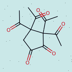 CC(=O)C1(C(C)=O)CC(=O)C(=O)C1(C(C)=O)C(C)=O